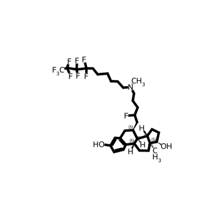 CN(CCCCCCC(F)(F)C(F)(F)C(F)(F)C(F)(F)F)CCCC(F)C[C@@H]1Cc2cc(O)ccc2[C@H]2CC[C@]3(C)[C@@H](O)CC[C@H]3[C@H]12